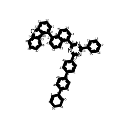 C1=CC(c2ccc(-c3ccc(-c4nc(-c5ccccc5)nc(-c5cccc6c(-c7cccc8oc9ccccc9c78)cccc56)n4)cc3)cc2)=CCC1